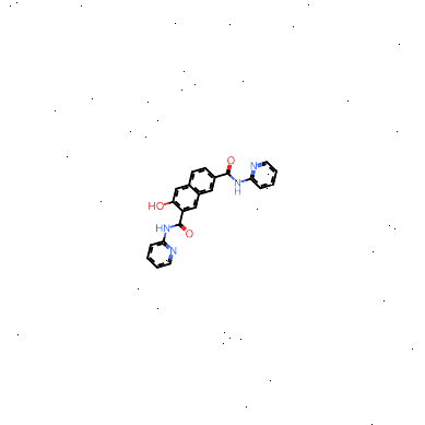 O=C(Nc1ccccn1)c1ccc2cc(O)c(C(=O)Nc3ccccn3)cc2c1